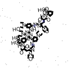 CCN(CC)c1ccc(/N=N/c2nc(N3CCOCC3)c(C=C(C(C)=O)C(=O)Nc3ccccc3S(=O)(=O)O)s2)c(Nc2nc(Nc3cc(N(CC)CC)ccc3/N=N/c3nc(N4CCOCC4)c(/C=C(\C(C)=O)C(=O)Nc4ccccc4S(=O)(=O)O)s3)nc(N(CCO)CCO)n2)c1